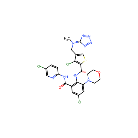 C[N+](Cc1csc(C(=O)Nc2c(C(=O)Nc3ccc(Cl)cn3)cc(Cl)cc2N2CCOCC2)c1Cl)=C1N=NN=N1